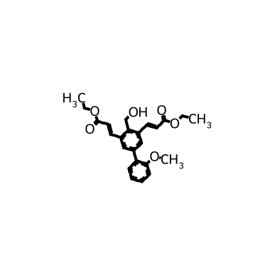 CCOC(=O)C=Cc1cc(-c2ccccc2OC)cc(C=CC(=O)OCC)c1CO